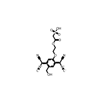 [C-]#[N+]/C(C#N)=c1/cc(OCCOC(=O)CS(=O)(=O)O)/c(=C(\C#N)[N+]#[C-])cc1CO